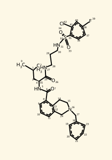 CC(C)C[C@H](NC(=O)c1cccc2c1CCN(Cc1ccccc1)C2)C(=O)NCCCNS(=O)(=O)c1ccc(F)cc1Cl